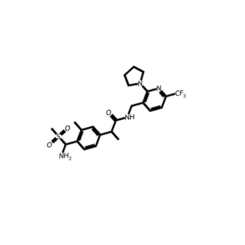 Cc1cc(C(C)C(=O)NCc2ccc(C(F)(F)F)nc2N2CCCC2)ccc1C(N)S(C)(=O)=O